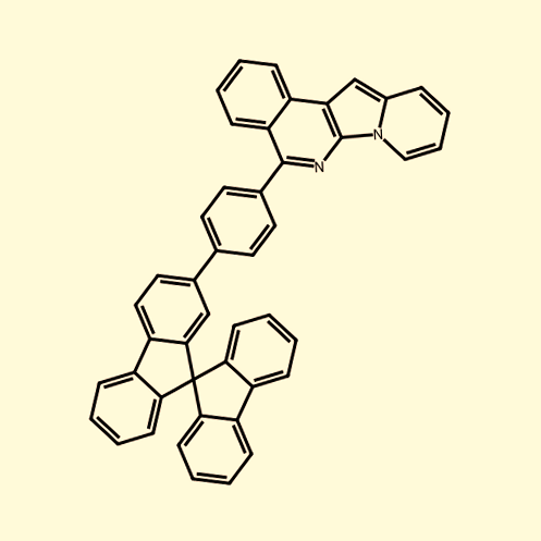 c1ccc2c(c1)-c1ccccc1C21c2ccccc2-c2ccc(-c3ccc(-c4nc5c(cc6ccccn65)c5ccccc45)cc3)cc21